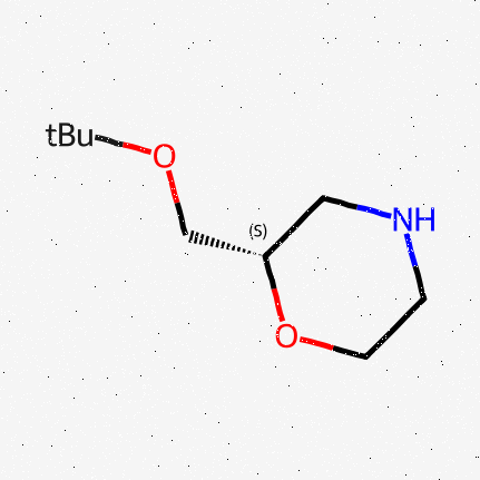 CC(C)(C)OC[C@@H]1CNCCO1